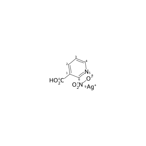 O=C(O)c1cccnc1.O=[N+]([O-])[O-].[Ag+]